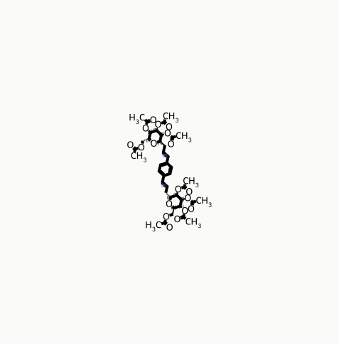 CC(=O)OC[C@H]1O[C@H](C/C=C/c2ccc(/C=C/C[C@H]3O[C@H](COC(C)=O)[C@@H](OC(C)=O)[C@H](OC(C)=O)[C@@H]3OC(C)=O)cc2)[C@@H](OC(C)=O)[C@@H](OC(C)=O)[C@H]1OC(C)=O